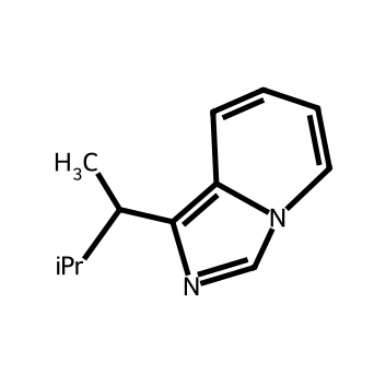 CC(C)C(C)c1ncn2ccccc12